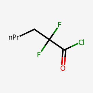 CCCCC(F)(F)C(=O)Cl